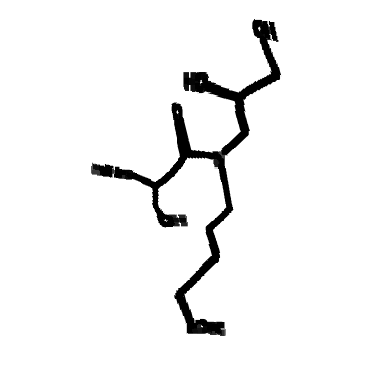 CCCCCCCCCCCCCCN(CC(O)CO)C(=O)C(O)CCCCCC